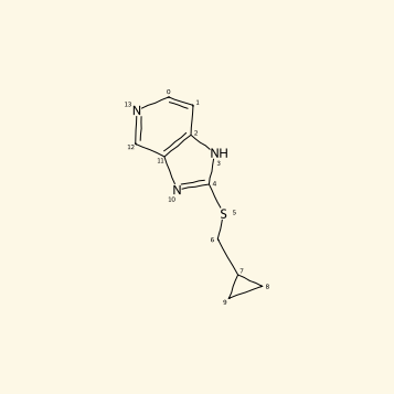 c1cc2[nH]c(SCC3CC3)nc2cn1